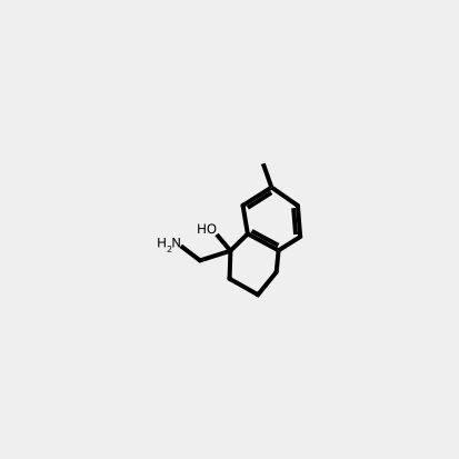 Cc1ccc2c(c1)C(O)(CN)CCC2